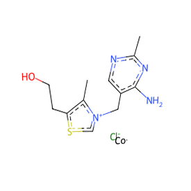 Cc1ncc(C[n+]2csc(CCO)c2C)c(N)n1.[Cl-].[Co]